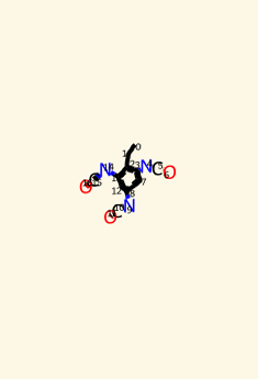 CCc1c(N=C=O)cc(N=C=O)cc1N=C=O